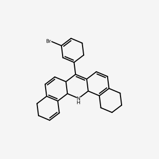 BrC1=CCCC(C2=C3C=CC4=C(CCCC4)C3NC3C4=C(C=CC23)CCC=C4)=C1